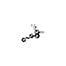 Oc1nc(OCC(F)(F)F)nc2c(-c3cn(CCN4CCCC4)cn3)nccc12